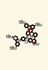 CC(C)(C)c1cc2c3c(c1)N(c1c(-c4ccccc4)cccc1-c1ccccc1)c1cc(-n4c5ccc(C(C)(C)C)cc5c5cc(C(C)(C)C)ccc54)ccc1B3c1ccc(-n3c4c(c5cc(C(C)(C)C)ccc53)CC(C(C)(C)C)C=C4)cc1O2